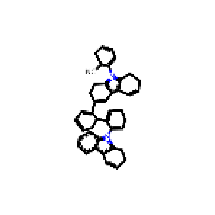 N#CC1CC=CC=C1n1c2c(c3c1CCC(C1=CC=CCC1C1=CCCC=C1n1c4c(c5ccccc51)C=CCC4)=C3)C=CCC2